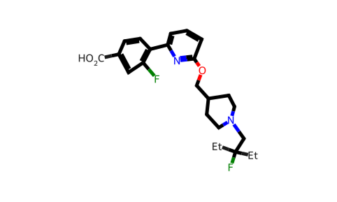 CCC(F)(CC)CN1CCC(COc2cccc(-c3ccc(C(=O)O)cc3F)n2)CC1